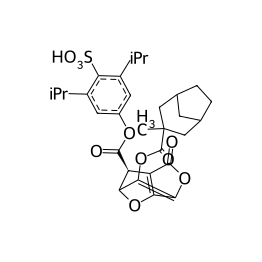 CC(C)c1cc(OC(=O)[C@H]2C3=C4OC2C(OC(=O)C2(C)CC5CCC(C5)C2)=C4OC3=O)cc(C(C)C)c1S(=O)(=O)O